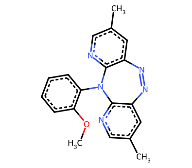 COc1ccccc1N1c2ncc(C)cc2N=Nc2cc(C)cnc21